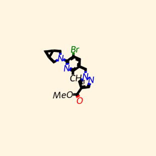 COC(=O)c1cnn(Cc2cc(Br)c(N3CC4CC4C3)nc2C)c1